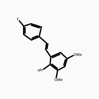 CCCc1c(C=Cc2ccc(F)cc2)cc(OC)cc1OC